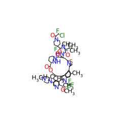 COC(C)c1ncc(N2CCN(C)CC2)cc1-c1c2c3cc(c(C)cc3n1CC(F)(F)F)-c1csc(n1)C[C@H](NC(=O)[C@H](C(C)C)N(C)C(=O)C1(F)CCN(C(=O)C(F)Cl)CC1)C(=O)N1CCCC(N1)C(=O)OCC(C)(C)C2